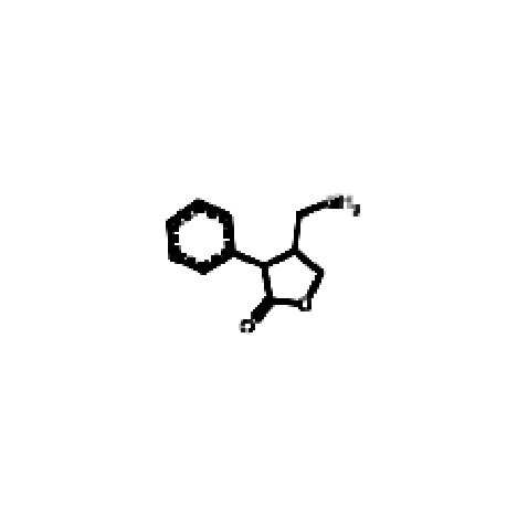 O=C1OCC(C[SiH3])C1c1ccccc1